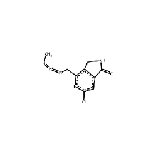 CN=[N+]=NCc1nc(Cl)cc2c1CNC2=O